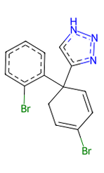 BrC1=CCC(c2c[nH]nn2)(c2ccccc2Br)C=C1